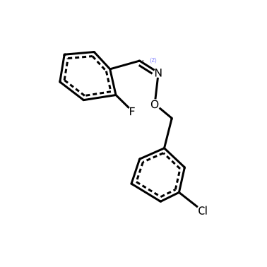 Fc1ccccc1/[C]=N\OCc1cccc(Cl)c1